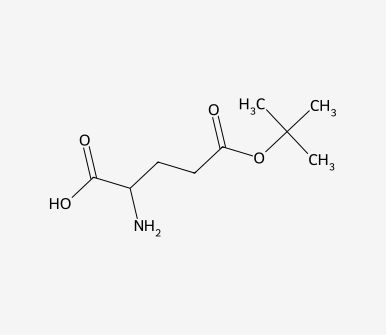 CC(C)(C)OC(=O)CCC(N)C(=O)O